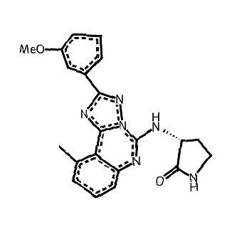 COc1cccc(-c2nc3c4c(C)cccc4nc(N[C@@H]4CCNC4=O)n3n2)c1